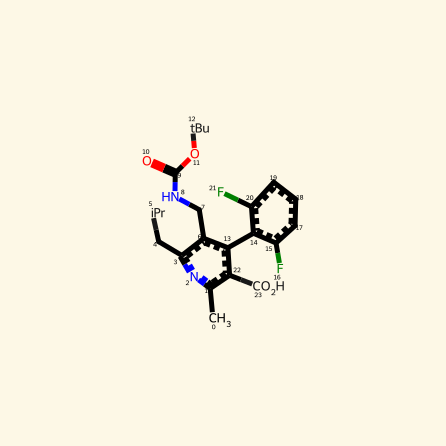 Cc1nc(CC(C)C)c(CNC(=O)OC(C)(C)C)c(-c2c(F)cccc2F)c1C(=O)O